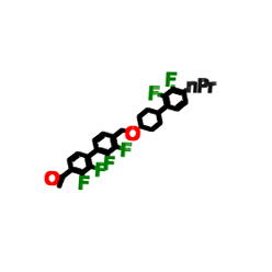 CCCc1ccc(C2CCC(OCc3ccc(-c4ccc(C5CO5)c(F)c4F)c(F)c3F)CC2)c(F)c1F